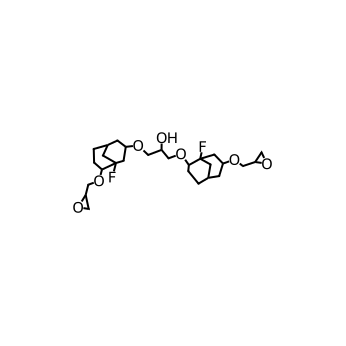 OC(COC1CC2CCC(OCC3CO3)C(F)(C2)C1)COC1CCC2CC(OCC3CO3)CC1(F)C2